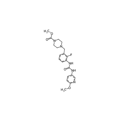 COC(=O)N1CCN(Cc2cccc(NC(=O)Nc3ccc(OC)nc3)c2F)CC1